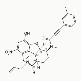 C=CCN1CC[C@]23c4c5c([N+](=O)[O-])cc(O)c4O[C@H]2[C@@H](N(C)C(=O)C#Cc2cccc(C)c2)CC[C@H]3[C@H]1C5